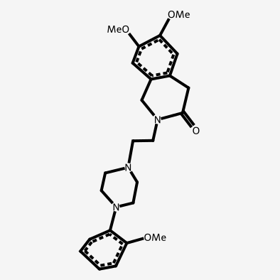 COc1cc2c(cc1OC)CN(CCN1CCN(c3ccccc3OC)CC1)C(=O)C2